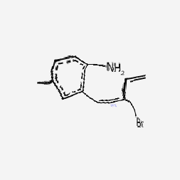 C=C/C(Br)=C\c1cc(C)ccc1N